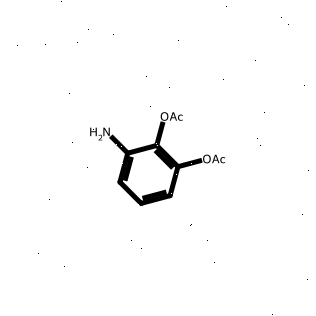 CC(=O)Oc1cccc(N)c1OC(C)=O